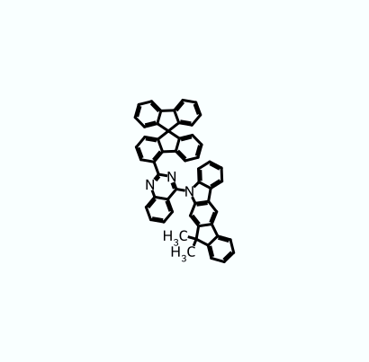 CC1(C)c2ccccc2-c2cc3c4ccccc4n(-c4nc(-c5cccc6c5-c5ccccc5C65c6ccccc6-c6ccccc65)nc5ccccc45)c3cc21